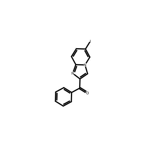 O=C(c1ccccc1)c1cn2cc(I)ccc2n1